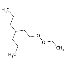 CCCC(CCC)CCOOCC